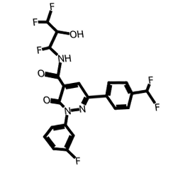 O=C(NC(F)C(O)C(F)F)c1cc(-c2ccc(C(F)F)cc2)nn(-c2cccc(F)c2)c1=O